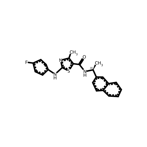 Cc1nc(Nc2ccc(F)cc2)sc1C(=O)N[C@@H](C)c1ccc2ccccc2c1